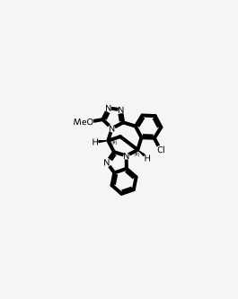 COc1nnc2n1[C@@H]1C[C@H](c3c(Cl)cccc3-2)n2c1nc1ccccc12